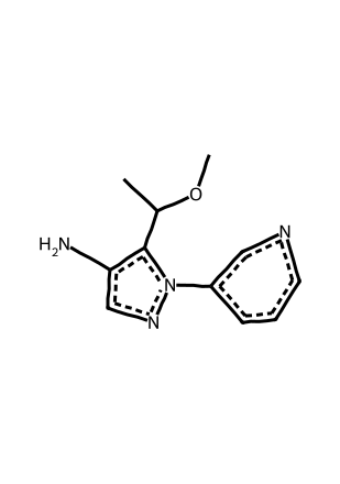 COC(C)c1c(N)cnn1-c1cccnc1